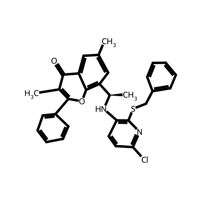 Cc1cc([C@@H](C)Nc2ccc(Cl)nc2SCc2ccccc2)c2oc(-c3ccccc3)c(C)c(=O)c2c1